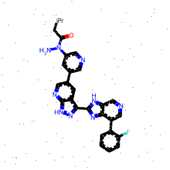 CC(C)CC(=O)N(N)c1cncc(-c2cnc3[nH]nc(-c4nc5c(-c6ccccc6F)cncc5[nH]4)c3c2)c1